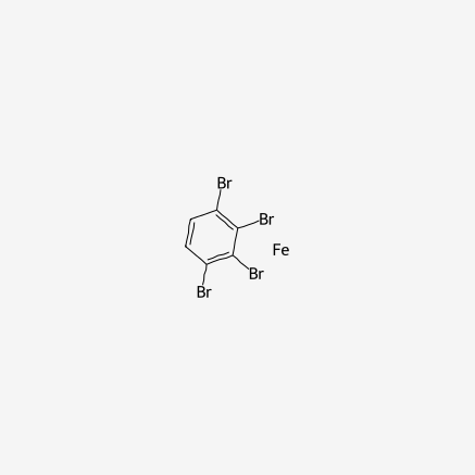 Brc1ccc(Br)c(Br)c1Br.[Fe]